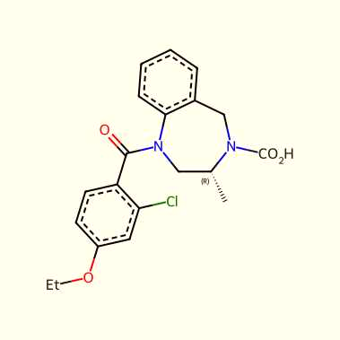 CCOc1ccc(C(=O)N2C[C@@H](C)N(C(=O)O)Cc3ccccc32)c(Cl)c1